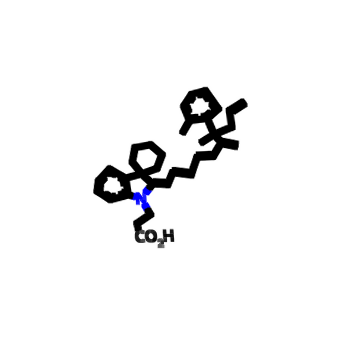 C=CCC(C)(C(=C)/C=C/C=C/C=C1/N(CCC(=O)O)c2ccccc2C12CCCCC2)c1ccccc1C